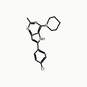 Cc1nc(N2CCCCC2)c2[nH]c(-c3ccc(Cl)cc3)cc2n1